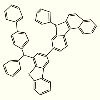 c1ccc(-c2ccc(N(c3ccccc3)c3cc(-c4ccc5c6c7ccccc7ccc6n(-c6ccccc6)c5c4)cc4c3sc3ccccc34)cc2)cc1